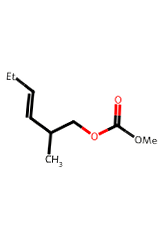 CCC=CC(C)COC(=O)OC